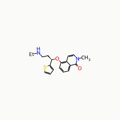 CCNCC[C@@H](Oc1cccc2c(=O)n(C)ccc12)c1cccs1